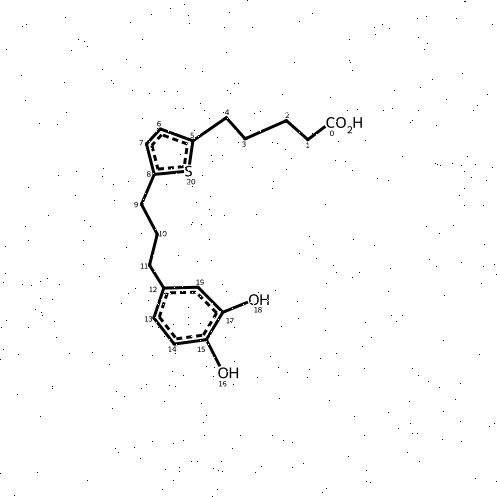 O=C(O)CCCCc1ccc(CCCc2ccc(O)c(O)c2)s1